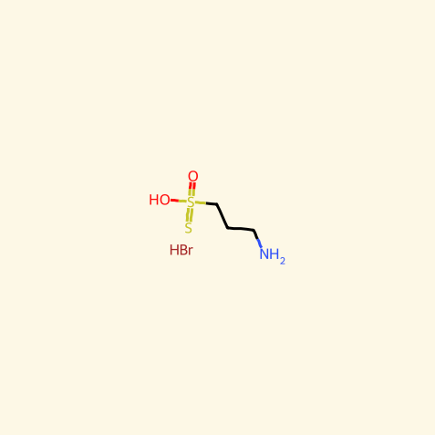 Br.NCCCS(=O)(O)=S